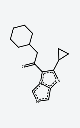 O=C(CC1CCCCC1)c1c(C2CC2)sc2cncn12